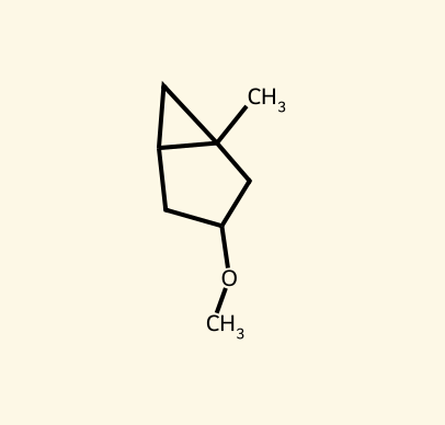 COC1CC2CC2(C)C1